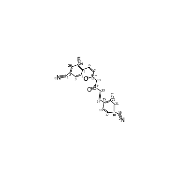 N#Cc1ccc(/C=C\[S+]([O-])C[S+]([O-])/C=C/c2ccc(C#N)cc2F)c(F)c1